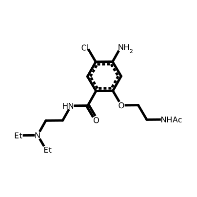 CCN(CC)CCNC(=O)c1cc(Cl)c(N)cc1OCCNC(C)=O